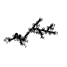 CCOCCNC(=O)CCN(CCC(=O)NCCOCC)C(=O)CCC(=O)CCN(CCC(=O)NCC(=O)N(CCC(=O)NCCOCCOCC)CCC(=O)NCCOCCOCC(=O)N[C@H](C(=O)C[C@@H](CCCCN)C(=O)N1CCC[C@H]1C(=O)N1CCC[C@@H]1C(=O)N[C@@H](CCCCC(=N)N)C(=O)O)[C@H](C)O)C(=O)CNC(=O)CSC(C)=O